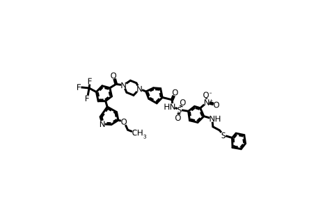 CCOc1cncc(-c2cc(C(=O)N3CCN(c4ccc(C(=O)NS(=O)(=O)c5ccc(NCCSc6ccccc6)c([N+](=O)[O-])c5)cc4)CC3)cc(C(F)(F)F)c2)c1